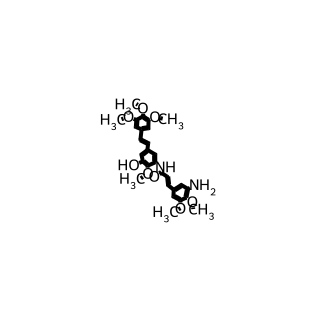 COc1cc(/C=C/C(=O)Nc2cc(/C=C/c3cc(OC)c(OC)c(OC)c3)cc(O)c2OC)cc(N)c1OC